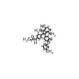 C=CC(=O)Nc1ccc(-c2c(-c3ccc(Oc4nccc(C)n4)c(F)c3)c3c(N)ncc(C#N)c3n2C)cc1